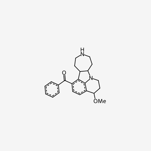 COC1CCN2c3c1ccc(C(=O)c1ccccc1)c3C1CCNCCC12